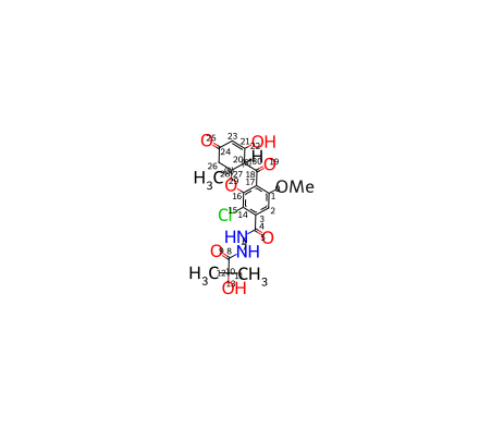 COc1cc(C(=O)NNC(=O)C(C)(C)O)c(Cl)c2c1C(=O)[C@H]1C(O)=CC(=O)C[C@]1(C)O2